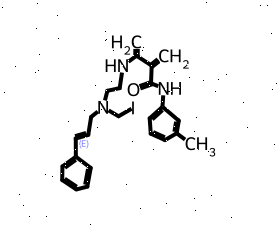 C=C(NCCN(CI)C/C=C/c1ccccc1)C(=C)C(=O)Nc1cccc(C)c1